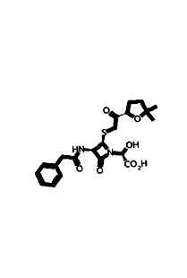 CC1(C)CC[C@@H](C(=O)CS[C@@H]2[C@H](NC(=O)Cc3ccccc3)C(=O)N2[C@@H](O)C(=O)O)O1